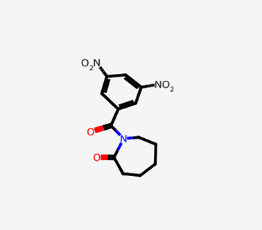 O=C1CCCCCN1C(=O)c1cc([N+](=O)[O-])cc([N+](=O)[O-])c1